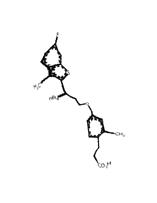 CCCCC(CCOc1ccc(CCC(=O)O)c(C)c1)c1sc2cc(F)ccc2c1C